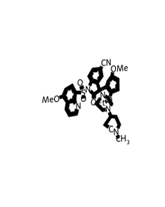 CCOc1ccc(OC)cc1C1(N2CCN(C3CCN(C)CC3)CC2)C(=O)N(S(=O)(=O)c2ccc(OC)c3cccnc23)c2ccc(C#N)cc21